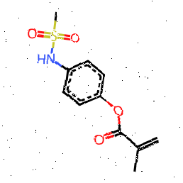 C=C(C)C(=O)Oc1ccc(NS(C)(=O)=O)cc1